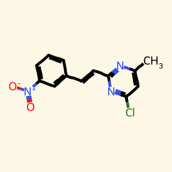 Cc1cc(Cl)nc(/C=C/c2cccc([N+](=O)[O-])c2)n1